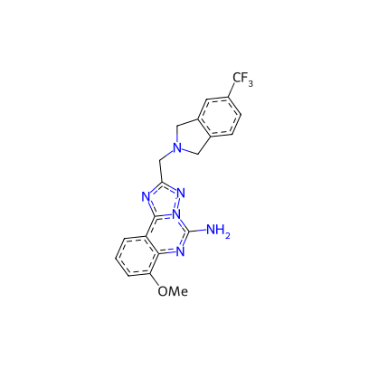 COc1cccc2c1nc(N)n1nc(CN3Cc4ccc(C(F)(F)F)cc4C3)nc21